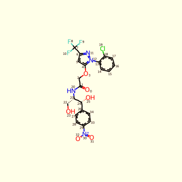 O=C(COc1cc(C(F)(F)F)nn1-c1ccccc1Cl)N[C@@H](CO)[C@H](O)c1ccc([N+](=O)[O-])cc1